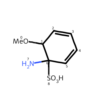 COC1C=CC=CC1(N)S(=O)(=O)O